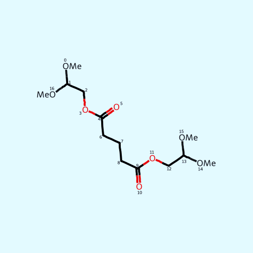 COC(COC(=O)CCCC(=O)OCC(OC)OC)OC